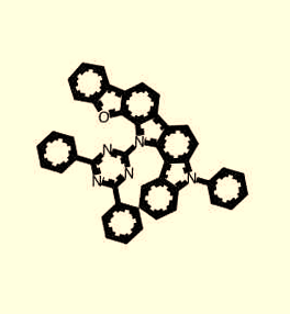 c1ccc(-c2nc(-c3ccccc3)nc(-n3c4c(ccc5c6ccccc6oc54)c4ccc5c(c6ccccc6n5-c5ccccc5)c43)n2)cc1